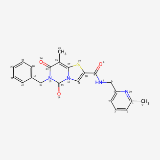 Cc1cccc(CNC(=O)c2cn3c(=O)n(Cc4ccccc4)c(=O)c(C)c3s2)n1